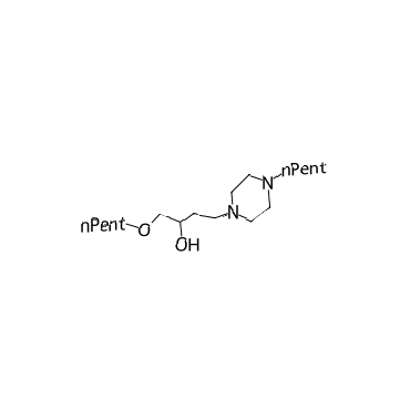 CCCCCOCC(O)CCN1CCN(CCCCC)CC1